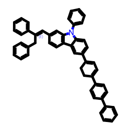 C1=C(c2ccc(-c3ccccc3)cc2)CCC(c2ccc3c(c2)c2ccc(/C=C(\Cc4ccccc4)c4ccccc4)cc2n3-c2ccccc2)=C1